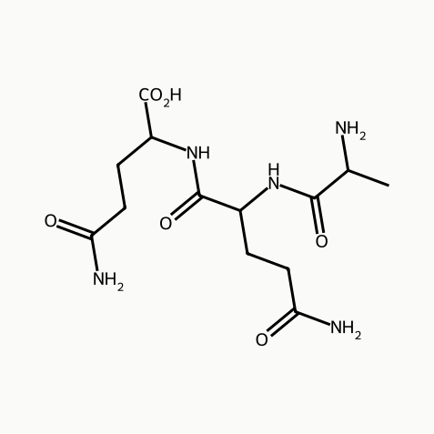 CC(N)C(=O)NC(CCC(N)=O)C(=O)NC(CCC(N)=O)C(=O)O